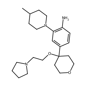 CC1CCN(c2cc(C3(OCCN4CCCC4)CCOCC3)ccc2N)CC1